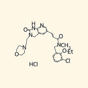 CCOc1c(Cl)cccc1CN(C)C(=O)C=Cc1cnc2c(c1)CN(CCN1CCOCC1)C(=O)N2.Cl